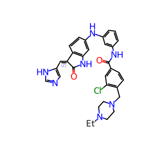 CCN1CCN(Cc2ccc(C(=O)Nc3cccc(Nc4ccc5c(c4)NC(=O)/C5=C\c4cnc[nH]4)c3)cc2Cl)CC1